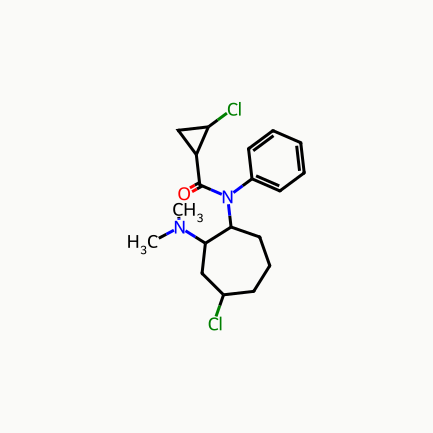 CN(C)C1CC(Cl)CCCC1N(C(=O)C1CC1Cl)c1ccccc1